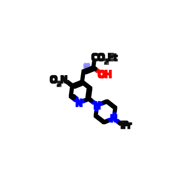 CCOC(=O)/C(O)=C/c1cc(N2CCN(C(C)C)CC2)ncc1[N+](=O)[O-]